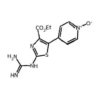 CCOC(=O)c1nc(NC(=N)N)sc1-c1cc[n+]([O-])cc1